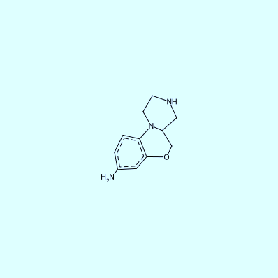 Nc1ccc2c(c1)OCC1CNCCN21